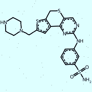 NS(=O)(=O)c1cccc(Nc2ncc3c(n2)-c2cc(CN4CCNCC4)sc2CS3)c1